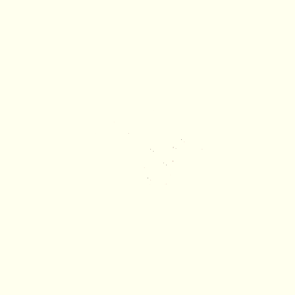 CN(Cc1ccc(Cl)cc1)C(=O)[C@H]1CCCN1C(=C[N+](=O)[O-])Nc1ccc(C(F)(F)F)cc1